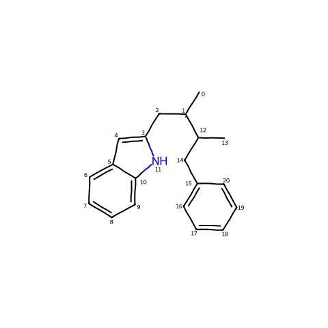 C[C](Cc1cc2ccccc2[nH]1)C(C)Cc1ccccc1